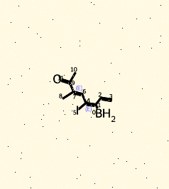 B/C(C=C)=C(I)/C=C(\C)C(C)=O